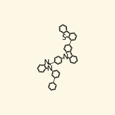 c1ccc(-c2cccc(-n3c(-c4ccc(-n5c6ccccc6c6cc(-c7cccc8c7sc7ccccc78)ccc65)cc4)nc4ccccc43)c2)cc1